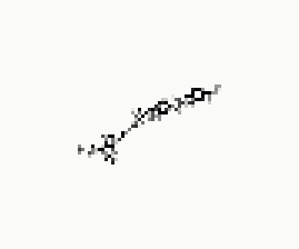 Nc1nc(F)nc2c1ncn2CCCCOC(=O)NCc1ccc(S(=O)(=O)NCc2ccc(C(F)(F)F)cc2)cc1